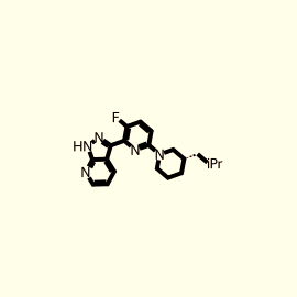 CC(C)C[C@@H]1CCCN(c2ccc(F)c(-c3n[nH]c4ncccc34)n2)C1